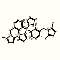 Cc1ccc(C)n1Cc1ccc(F)[c]([Ti]([C]2=CC=CC2)([C]2=CC=CC2)[c]2c(F)ccc(Cn3c(C)ccc3C)c2F)c1F